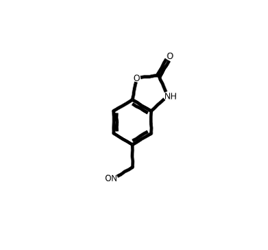 O=NCc1ccc2oc(=O)[nH]c2c1